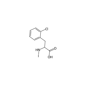 O=C(O)C(Cc1ccccc1Cl)NI